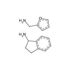 NC1CCc2ccccc21.NCc1ccco1